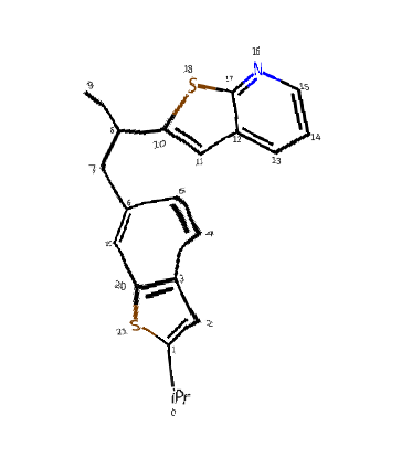 CC(C)c1cc2ccc(CC(C)c3cc4cccnc4s3)cc2s1